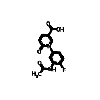 CC(=O)Nc1cc(-n2cc(C(=O)O)ccc2=O)ccc1F